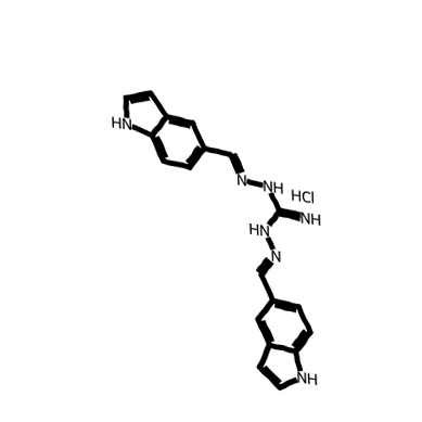 Cl.N=C(NN=Cc1ccc2[nH]ccc2c1)NN=Cc1ccc2[nH]ccc2c1